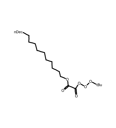 CCCCCCCCCCCCCCCCCCCCOC(=O)C(=O)OOOC(C)(C)C